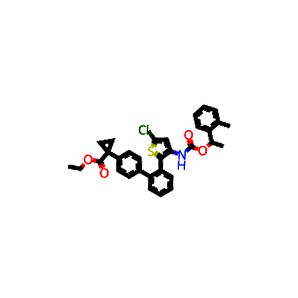 CCOC(=O)C1(c2ccc(-c3ccccc3-c3sc(Cl)cc3NC(=O)OC(C)c3ccccc3C)cc2)CC1